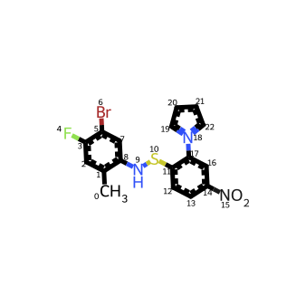 Cc1cc(F)c(Br)cc1NSc1ccc([N+](=O)[O-])cc1-n1cccc1